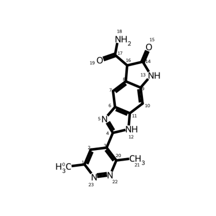 Cc1cc(-c2nc3cc4c(cc3[nH]2)NC(=O)C4C(N)=O)c(C)nn1